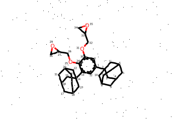 c1c(C23CC4CC(CC(C4)C2)C3)cc(C23CC4CC(CC(C4)C2)C3)c(OCC2CO2)c1OCC1CO1